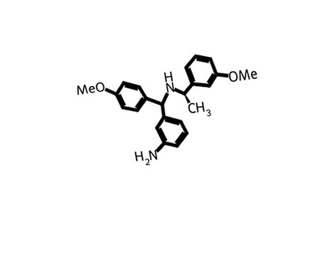 COc1ccc(C(N[C@H](C)c2cccc(OC)c2)c2cccc(N)c2)cc1